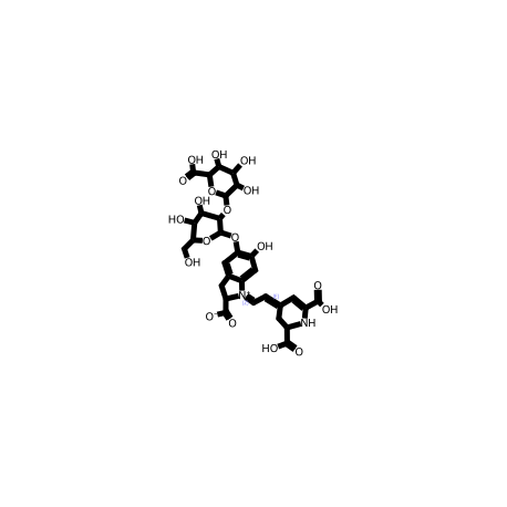 O=C(O)C1=C/C(=C/C=[N+]2\c3cc(O)c(OC4OC(CO)C(O)C(O)C4OC4OC(C(=O)O)C(O)C(O)C4O)cc3CC2C(=O)[O-])CC(C(=O)O)N1